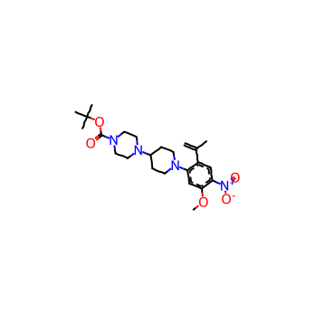 C=C(C)c1cc([N+](=O)[O-])c(OC)cc1N1CCC(N2CCN(C(=O)OC(C)(C)C)CC2)CC1